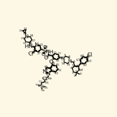 CC1(C)CCC(CN2CCN(c3ccc(C(=O)NS(=O)(=O)c4cnc(NC5CCN(C6CC6)CC5)c(Cl)c4)c(Oc4cccc5c4cnn5COCC[Si](C)(C)C)c3)CC2)=C(c2ccc(Cl)cc2)C1